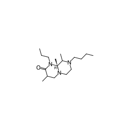 CCCCN1CCN2CC(C)C(=O)N(CCC)[C@]2(C)C1C